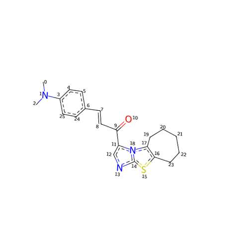 CN(C)c1ccc(/C=C/C(=O)c2cnc3sc4c(n23)CCCCC4)cc1